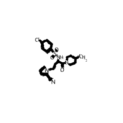 CC1CCN(C(=O)C(CCn2cccc2C#N)NS(=O)(=O)c2ccc(Cl)cc2)CC1